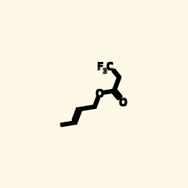 CC=CCOC(=O)CC(F)(F)F